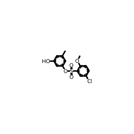 COc1ccc(Cl)cc1S(=O)(=O)Oc1cc(C)cc(O)c1